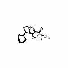 CNC(=O)c1nn2c(c1OC)C(c1ccccc1)CC2